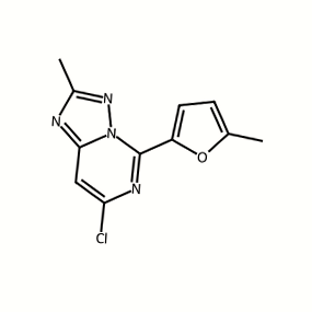 Cc1nc2cc(Cl)nc(-c3ccc(C)o3)n2n1